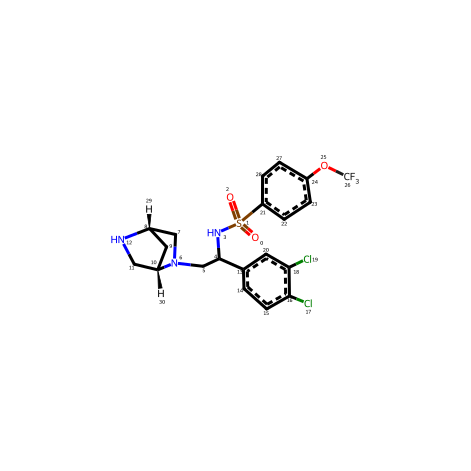 O=S(=O)(NC(CN1C[C@@H]2C[C@H]1CN2)c1ccc(Cl)c(Cl)c1)c1ccc(OC(F)(F)F)cc1